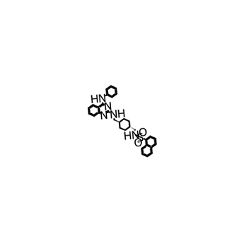 O=S(=O)(NC[C@H]1CC[C@H](CNc2nc(Nc3ccccc3)c3ccccc3n2)CC1)c1cccc2ccccc12